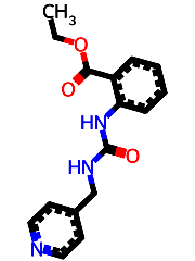 CCOC(=O)c1ccccc1NC(=O)NCc1ccncc1